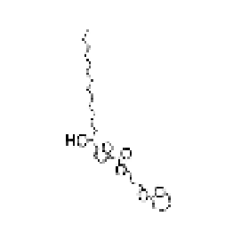 CCCCCCCCCCCCCC(O)c1ccc(C(=O)OCCCOC2CCCCO2)o1